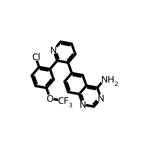 Nc1ncnc2ccc(-c3cccnc3-c3cc(OC(F)(F)F)ccc3Cl)cc12